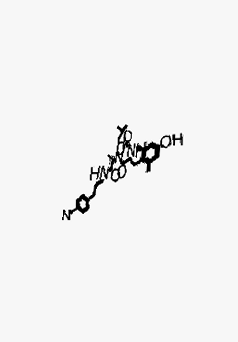 Cc1cc(O)cc(C)c1CC(NC(=O)OC(C)(C)C)C(=O)N[C@H](C)C(=O)NC=CCc1ccc(C#N)cc1